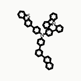 c1cc(-c2ccc(N(c3ccc(-c4ccc5c(c4)sc4ccccc45)cc3)c3ccc(-c4ccccc4-n4c5ccccc5c5ccccc54)cc3)cc2)cc(-c2ccc3ccccc3c2)c1